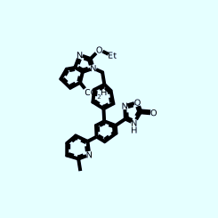 CCOc1nc2cccc(C(=O)O)c2n1Cc1ccc(-c2cc(-c3cccc(C)n3)ccc2-c2noc(=O)[nH]2)cc1